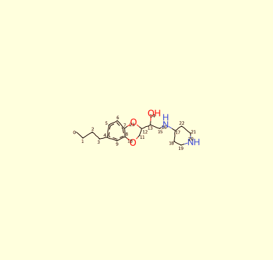 CCCCc1ccc2c(c1)OCC(C(O)CNC1CCNCC1)O2